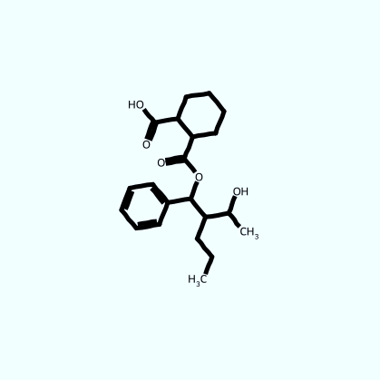 CCCC(C(C)O)C(OC(=O)C1CCCCC1C(=O)O)c1ccccc1